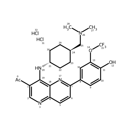 CC(=O)c1cnc2ccc(-c3ccc(O)c(OC(F)(F)F)c3)nc2c1N[C@H]1CC[C@H](CN(C)C)CC1.Cl.Cl